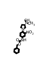 CN(C)[C@H]1CCN(c2ccc(NC(=O)OCc3ccccc3)cc2[N+](=O)[O-])C1